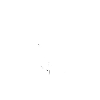 Cc1cc(C)c(-c2ccc(N(C)c3c(C)c(C)c(-c4ncnc(-c5c(C)cccc5C)n4)c(C)c3C)cc2)c(C)c1